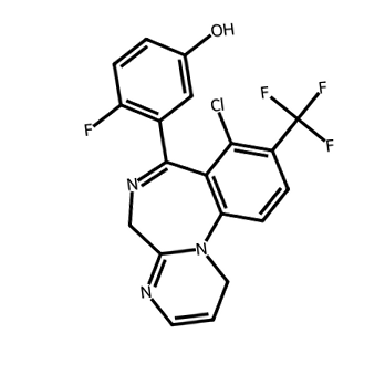 Oc1ccc(F)c(C2=NCC3=NC=CCN3c3ccc(C(F)(F)F)c(Cl)c32)c1